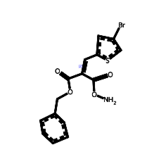 NOC(=O)/C(=C\c1cc(Br)cs1)C(=O)OCc1ccccc1